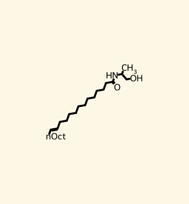 CCCCCCCCC=CCCCCCCCCCCCC(=O)NC(C)CO